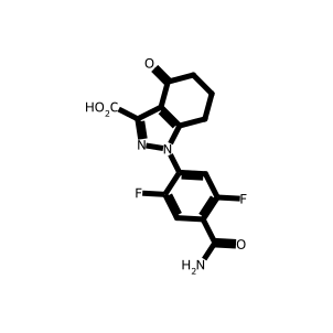 NC(=O)c1cc(F)c(-n2nc(C(=O)O)c3c2CCCC3=O)cc1F